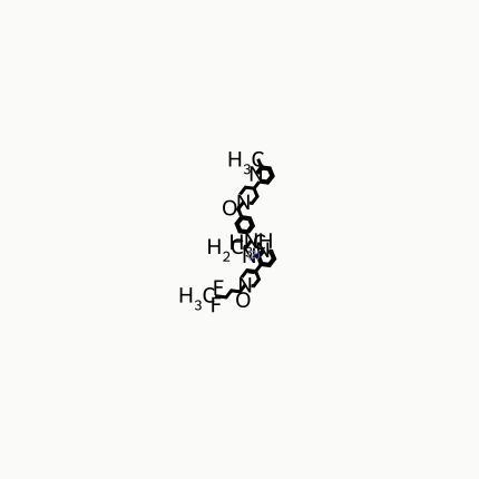 C=C(/N=c1/c(C2=CCN(C(=O)CCC(C)(F)F)CC2)cccn1C)Nc1ccc(C(=O)N2CCC(c3cccc(C)n3)CC2)cc1